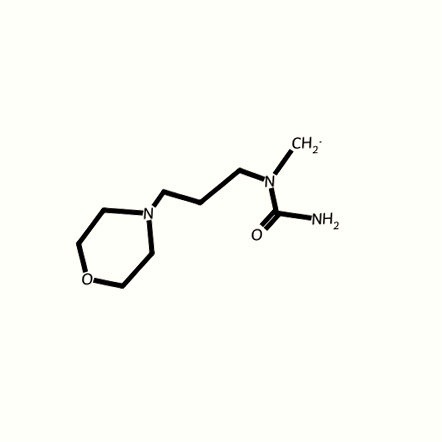 [CH2]N(CCCN1CCOCC1)C(N)=O